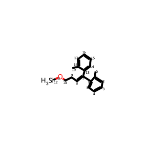 Cc1ccccc1C(=CCCO[SiH3])c1ccccc1C